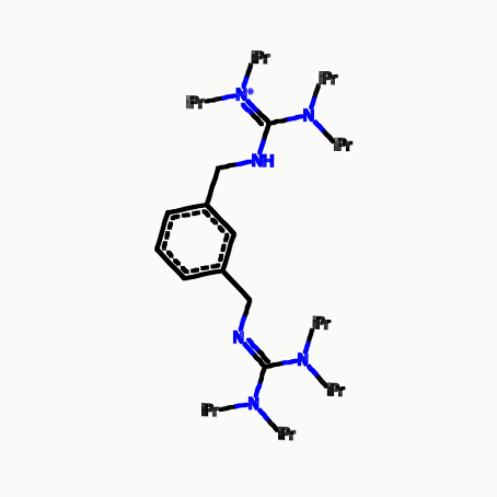 CC(C)N(C(=NCc1cccc(CNC(N(C(C)C)C(C)C)=[N+](C(C)C)C(C)C)c1)N(C(C)C)C(C)C)C(C)C